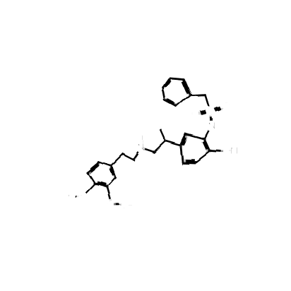 COc1ccc(CCNCC(O)c2ccc(O)c(NS(=O)(=O)Cc3ccccc3)c2)cc1OC